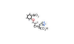 CC(COc1ccccc1[N+](=O)[O-])C[C@H](CN)CC(=O)O